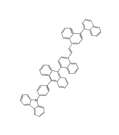 C(=C\c1ccc(-c2c3ccccc3c(-c3ccc(-n4c5ccccc5c5ccccc54)cc3)c3ccccc23)c2ccccc12)/c1ccc(-c2cccc3ccccc23)c2ccccc12